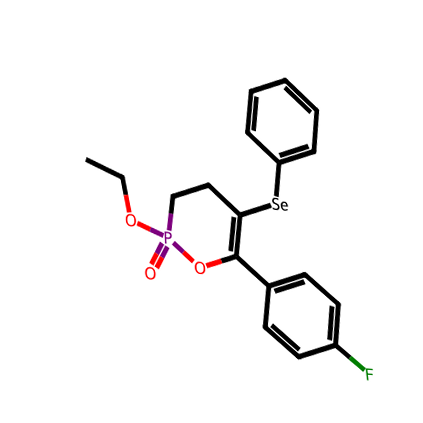 CCOP1(=O)CCC([Se]c2ccccc2)=C(c2ccc(F)cc2)O1